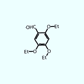 CCOc1cc(OCC)c(OCC)cc1[C]=O